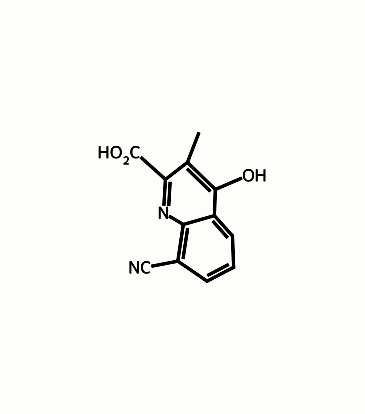 Cc1c(C(=O)O)nc2c(C#N)cccc2c1O